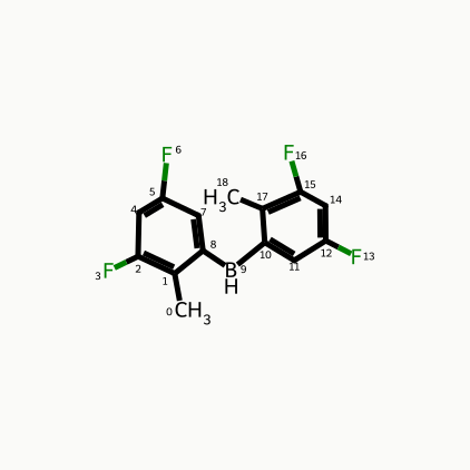 Cc1c(F)cc(F)cc1Bc1cc(F)cc(F)c1C